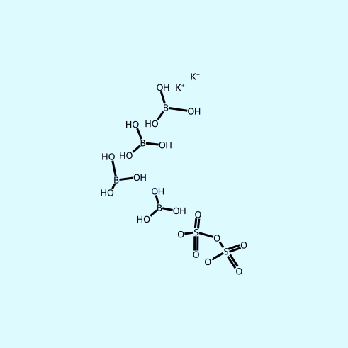 O=S(=O)([O-])OS(=O)(=O)[O-].OB(O)O.OB(O)O.OB(O)O.OB(O)O.[K+].[K+]